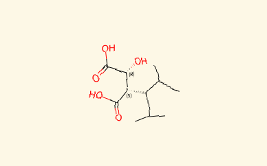 CC(C)C(C(C)C)[C@H](C(=O)O)[C@@H](O)C(=O)O